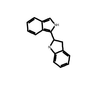 c1ccc2c(c1)CC(c1[nH]cc3ccccc13)[N]2